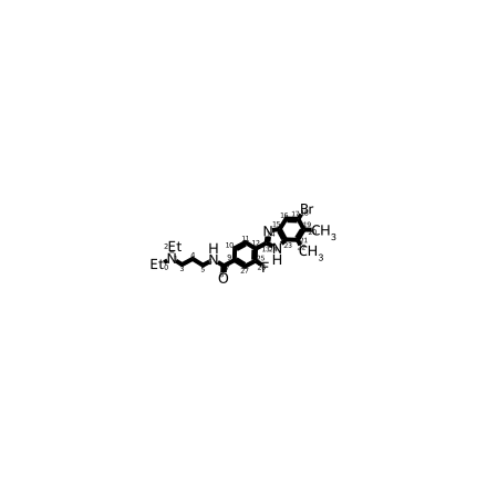 CCN(CC)CCCNC(=O)c1ccc(-c2nc3cc(Br)c(C)c(C)c3[nH]2)c(F)c1